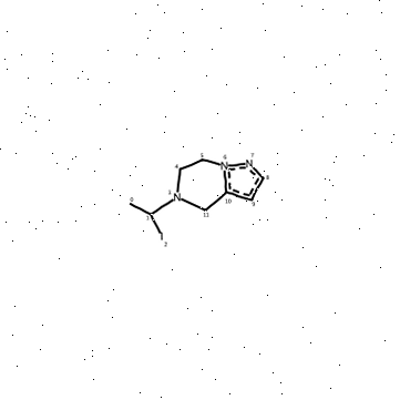 CC(I)N1CCn2nccc2C1